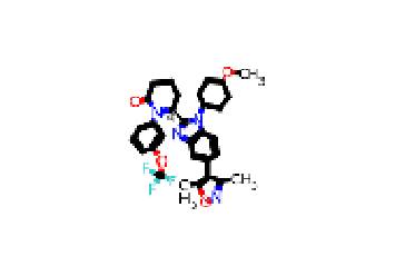 COC1CCC(n2c([C@@H]3CCCC(=O)N3c3cccc(OC(F)(F)F)c3)nc3cc(-c4c(C)noc4C)ccc32)CC1